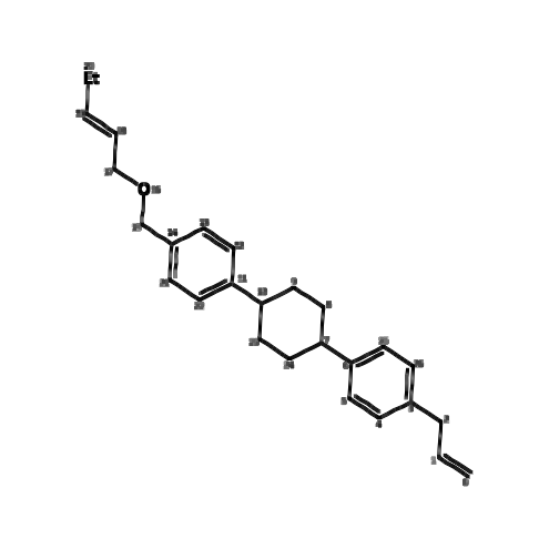 C=CCc1ccc(C2CCC(c3ccc(COCC=CCC)cc3)CC2)cc1